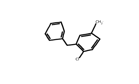 [CH2]c1ccc(Cl)c(Cc2ccccc2)c1